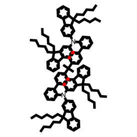 CCCCCCC1(CCCCC)c2ccccc2-c2ccc(N(c3ccc4c(c3)C(CCCCC)(CCCCC)c3ccccc3-4)c3ccccc3-c3ccc(C(C)(C)c4ccc(-c5ccccc5N(c5ccc6c(c5)C(CCCCC)(CCCCC)c5ccccc5-6)c5ccc6c(c5)C(CCCCC)(CCCCC)c5ccccc5-6)cc4)cc3)cc21